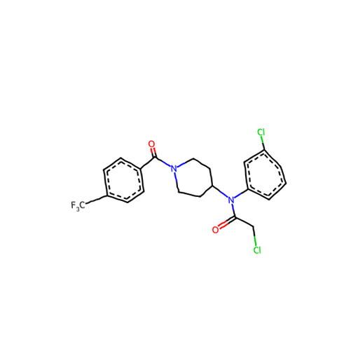 O=C(c1ccc(C(F)(F)F)cc1)N1CCC(N(C(=O)CCl)c2cccc(Cl)c2)CC1